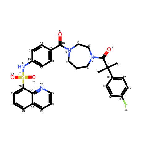 CC(C)(C(=O)N1CCCN(C(=O)c2ccc(NS(=O)(=O)c3cccc4cccnc34)cc2)CC1)c1ccc(F)cc1